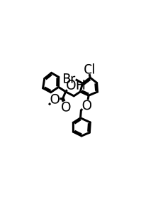 COC(=O)C(O)(Cc1c(OCc2ccccc2)ccc(Cl)c1Br)c1ccccc1